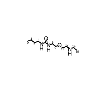 CCCCNC(=O)NCCOCCNCC